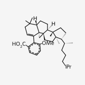 COc1cccc(C(=O)O)c1C1=CCC(C)(C)[C@@H]2CC[C@@H]3[C@]4(CC[C@]5(C)[C@@H]([C@H](C)CCCC(C)C)CC[C@@]35C)C[C@]124